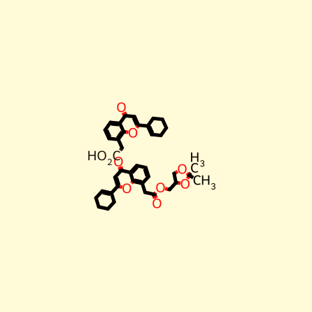 CC1(C)OCC(COC(=O)Cc2cccc3c(=O)cc(C4=CCCCC4)oc23)O1.O=C(O)Cc1cccc2c(=O)cc(C3=CCCCC3)oc12